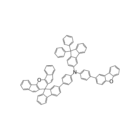 c1ccc(C2(c3ccccc3)c3ccccc3-c3cc(N(c4ccc(-c5ccc6c(c5)C5(c7ccccc7-6)c6ccc7ccccc7c6Oc6c5ccc5ccccc65)cc4)c4ccc(-c5ccc6oc7ccccc7c6c5)cc4)ccc32)cc1